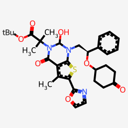 Cc1c(-c2ncco2)sc2c1C(=O)N(C(C)(C)C(=O)OC(C)(C)C)C(O)N2C[C@H](OC1CCC(=O)CC1)c1ccccc1